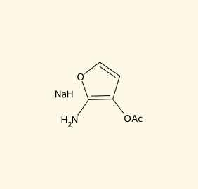 CC(=O)Oc1ccoc1N.[NaH]